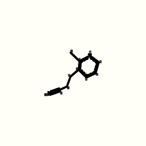 Cc1ncccc1CCC#N